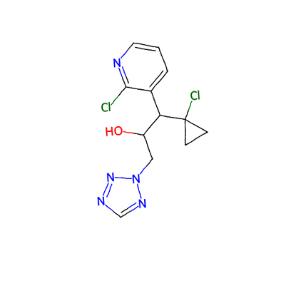 OC(Cn1ncnn1)C(c1cccnc1Cl)C1(Cl)CC1